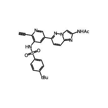 C#Cc1ncc(-c2ccc3nc(NC(C)=O)cn3n2)cc1NS(=O)(=O)c1ccc(C(C)(C)C)cc1